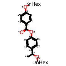 CCCCCCOc1ccc(C(=O)Oc2ccc(C(C)OCCCCCC)cc2)cc1